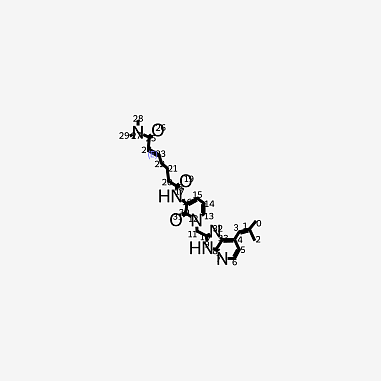 CC(C)=Cc1ccnc2[nH]c(Cn3cccc(NC(=O)CCC/C=C/C(=O)N(C)C)c3=O)nc12